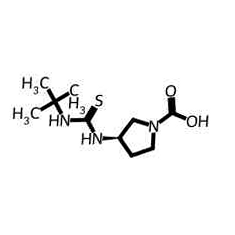 CC(C)(C)NC(=S)N[C@@H]1CCN(C(=O)O)C1